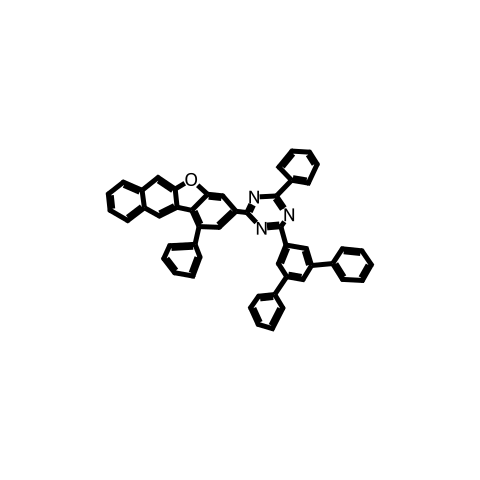 c1ccc(-c2cc(-c3ccccc3)cc(-c3nc(-c4ccccc4)nc(-c4cc(-c5ccccc5)c5c(c4)oc4cc6ccccc6cc45)n3)c2)cc1